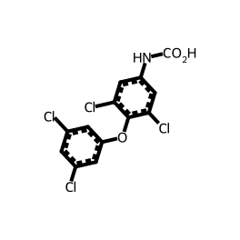 O=C(O)Nc1cc(Cl)c(Oc2cc(Cl)cc(Cl)c2)c(Cl)c1